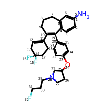 Nc1ccc2c(c1)CCCC(C1=CCC(F)(F)CC1)=C2c1ccc(OC2CCN(CCCF)C2)cc1